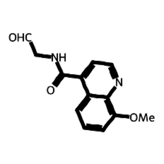 COc1cccc2c(C(=O)NCC=O)ccnc12